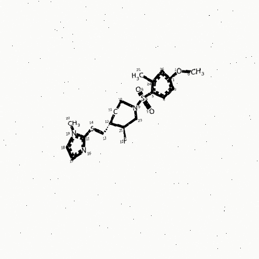 COc1ccc(S(=O)(=O)N2CC[C@@H](CSc3nccn3C)[C@H](F)C2)c(C)c1